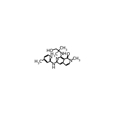 Cc1ccnc(Nc2cc3ccn(C)c(=O)c3c(NC(C)(C)CO)n2)c1